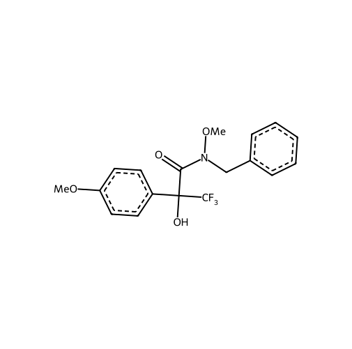 COc1ccc(C(O)(C(=O)N(Cc2ccccc2)OC)C(F)(F)F)cc1